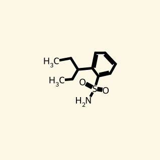 CCC(CC)c1ccccc1S(N)(=O)=O